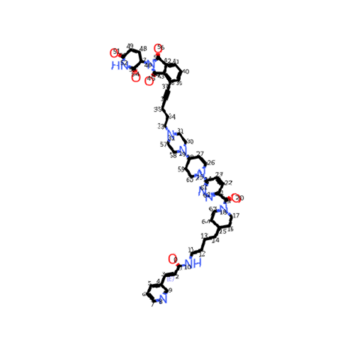 O=C(/C=C/c1cccnc1)NCCCCC1CCN(C(=O)c2ccc(N3CCC(N4CCN(CCCC#Cc5cccc6c5C(=O)N(C5CCC(=O)NC5=O)C6=O)CC4)CC3)nn2)CC1